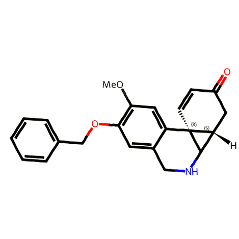 COc1cc2c(cc1OCc1ccccc1)CNC1[C@H]3CC(=O)C=C[C@@]213